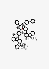 C=CC(NC(NCC1=CCC(C2C=CC=CC2)CC1)C1C=CC=CC1)C1=CC(C#N)=C(n2c3c(c4c2CCC2C4C4C=CCCC4C2(C)C)CCCC3)CC1N1C2=C(C3CCC=CC31)C1C3CCCCC3C(C)(C)C1C=C2